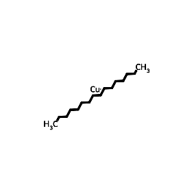 CCCCCCCCCCCCCCCC.[Cu]